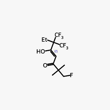 CCC(/C(O)=C/C(=O)C(C)(C)CF)(C(F)(F)F)C(F)(F)F